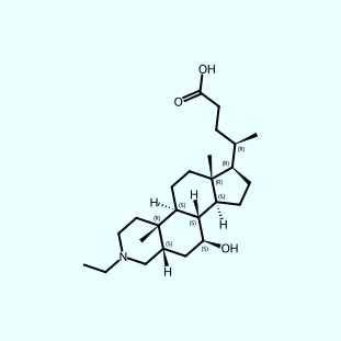 CCN1CC[C@@]2(C)[C@H](C[C@H](O)[C@@H]3[C@@H]2CC[C@]2(C)[C@@H]([C@H](C)CCC(=O)O)CC[C@@H]32)C1